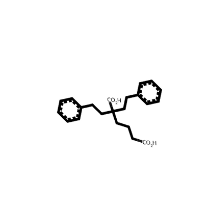 O=C(O)CCCC(CCc1ccccc1)(CCc1ccccc1)C(=O)O